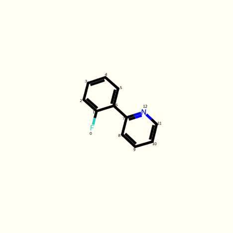 Fc1ccccc1-c1[c]cccn1